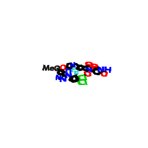 COc1cc2ncnc(Nc3ccc(Cl)c(Cl)c3F)c2cc1OC1CCN(Cc2cc3c(cc2F)C(=O)N(C2CCC(=O)NC2=O)C3=O)CC1